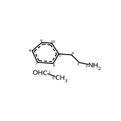 CC=O.NCCc1ccccc1